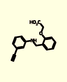 C#Cc1cccc(NCc2ccccc2OCC(=O)O)c1